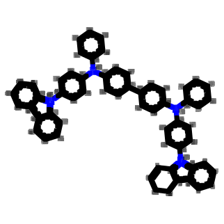 C1=Cc2c(c3ccccc3n2-c2ccc(N(c3ccccc3)c3ccc(-c4ccc(N(c5ccccc5)c5ccc(-n6c7ccccc7c7ccccc76)cc5)cc4)cc3)cc2)CC1